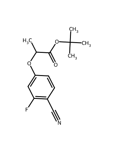 CC(Oc1ccc(C#N)c(F)c1)C(=O)OC(C)(C)C